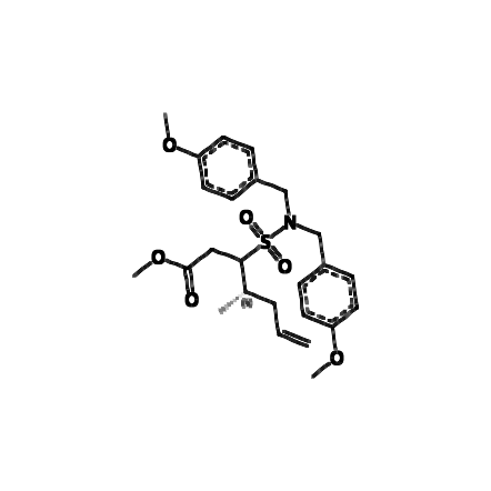 C=CC[C@H](C)C(CC(=O)OC)S(=O)(=O)N(Cc1ccc(OC)cc1)Cc1ccc(OC)cc1